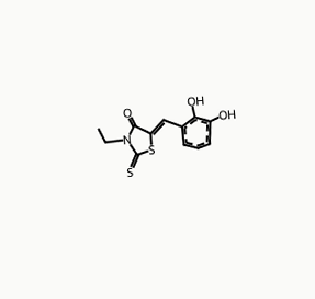 CCN1C(=O)/C(=C/c2cccc(O)c2O)SC1=S